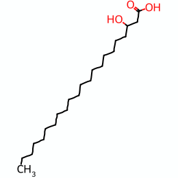 CCCCCCCCCCCCCCCCCCCC(O)CC(=O)O